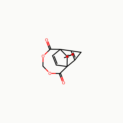 O=C1OCOC(=O)C23C=CC1(C1=C2C1)C31CCCCC1